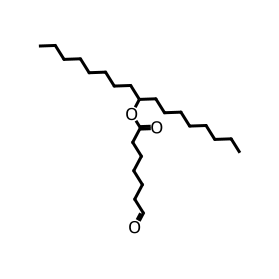 CCCCCCCCC(CCCCCCCC)OC(=O)CCCCCC=O